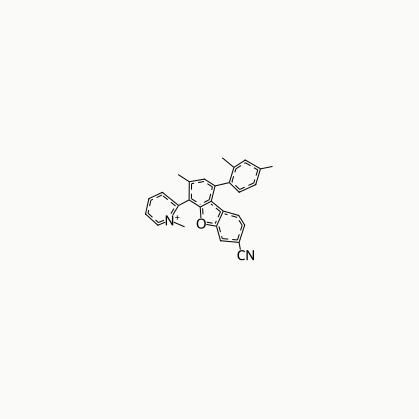 Cc1ccc(-c2cc(C)c(-c3cccc[n+]3C)c3oc4cc(C#N)ccc4c23)c(C)c1